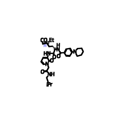 CCOC(=O)/C=C/CC[C@H](NC(=O)c1ccc(N2CCCCC2)cc1)C(=O)Nc1cccn(CC(=O)NCCC(C)C)c1=O